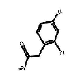 CCCC(=O)Cc1ccc(Cl)cc1Cl